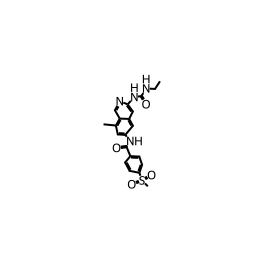 CCNC(=O)Nc1cc2cc(NC(=O)c3ccc(S(C)(=O)=O)cc3)cc(C)c2cn1